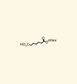 CCCCCCOC(=O)CCCCCC(=O)O